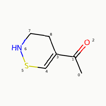 CC(=O)C1=CSNCC1